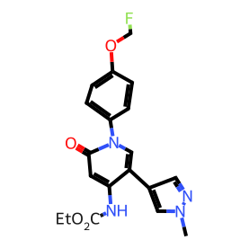 CCOC(=O)Nc1cc(=O)n(-c2ccc(OCF)cc2)cc1-c1cnn(C)c1